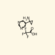 NC1(c2cncnc2)CC1.O=C(O)C(F)(F)F